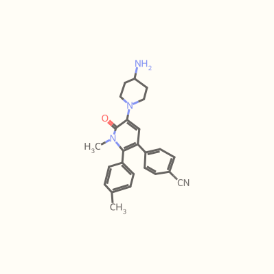 Cc1ccc(-c2c(-c3ccc(C#N)cc3)cc(N3CCC(N)CC3)c(=O)n2C)cc1